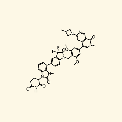 COc1cc(-c2cn(C)c(=O)c3cnc(N4CC(C)C4)cc23)cc(OC)c1CN1C(=O)C(F)(F)c2cc(-c3cccc4c3n(C)c(=O)n4C3CCC(=O)NC3=O)ccc21